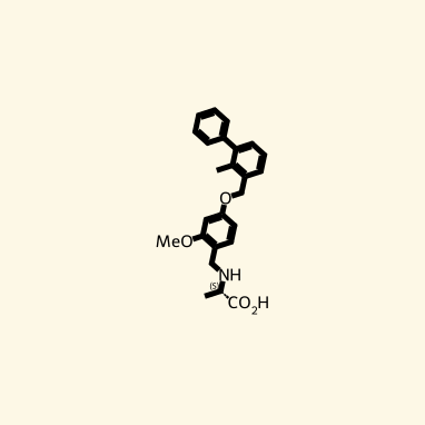 COc1cc(OCc2cccc(-c3ccccc3)c2C)ccc1CN[C@@H](C)C(=O)O